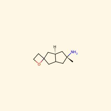 C[C@@]1(N)CC2CC3(CCO3)C[C@H]2C1